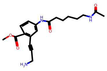 COC(=O)c1ccc(NC(=O)CCCCCNC(C)=O)cc1C#CCN